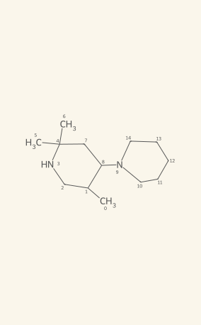 CC1CNC(C)(C)CC1N1CCCCC1